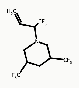 C=CC(N1CC(C(F)(F)F)CC(C(F)(F)F)C1)C(F)(F)F